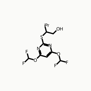 CC(C)C(CO)Sc1nc(OC(F)F)cc(OC(F)F)n1